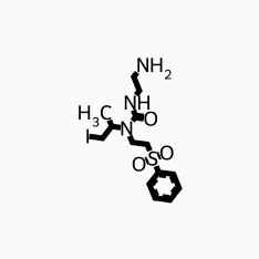 CC(CI)N(CCS(=O)(=O)c1ccccc1)C(=O)NCCN